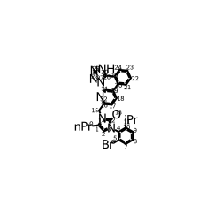 CCCc1cn(-c2c(Br)cccc2C(C)C)c(=O)n1Cc1ccc(-c2ccccc2-c2nnn[nH]2)cn1